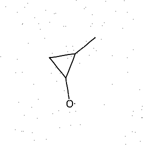 CC1CC1[O]